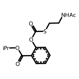 CC(=O)NCCSC(=O)Oc1ccccc1C(=O)OC(C)C